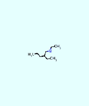 CCCC(CC)C[N]CC